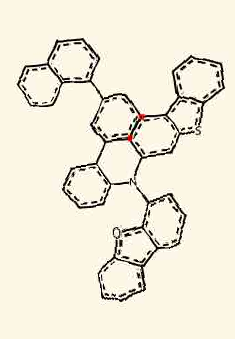 c1cc(-c2ccccc2N(c2ccc3c(c2)sc2ccccc23)c2cccc3c2oc2ccccc23)cc(-c2cccc3ccccc23)c1